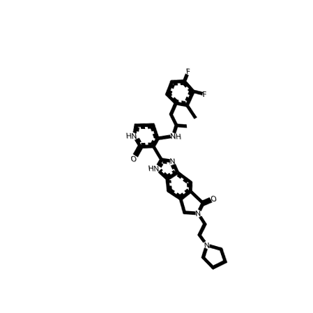 Cc1c(CC(C)Nc2cc[nH]c(=O)c2-c2nc3cc4c(cc3[nH]2)CN(CCN2CCCC2)C4=O)ccc(F)c1F